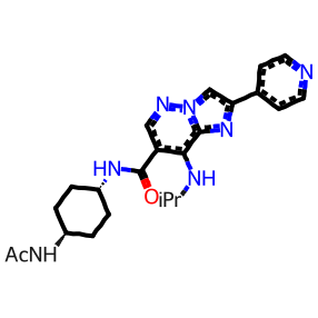 CC(=O)N[C@H]1CC[C@H](NC(=O)c2cnn3cc(-c4ccncc4)nc3c2NC(C)C)CC1